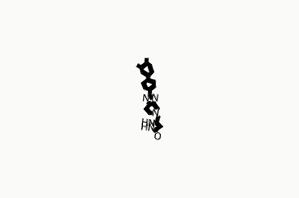 Cc1ccc(-c2ccc(-c3nc4ccn(Cc5cc(=O)[nH][nH]5)cc-4n3)cc2)cc1C